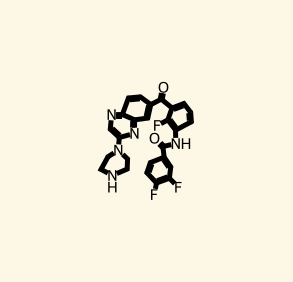 O=C(Nc1cccc(C(=O)c2ccc3ncc(N4CCNCC4)nc3c2)c1F)c1ccc(F)c(F)c1